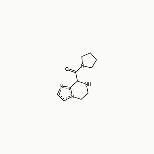 O=C(C1NCCn2ccnc21)N1CCCC1